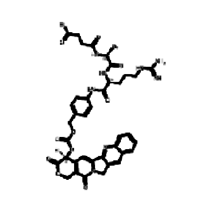 CCC(=O)CCC(=O)N[C@H](C(=O)N[C@@H](CCCNC(=N)N)C(=O)Nc1ccc(COC(=O)O[C@]2(CC)C(=O)OCc3c2cc2n(c3=O)Cc3cc4ccccc4nc3-2)cc1)C(C)C